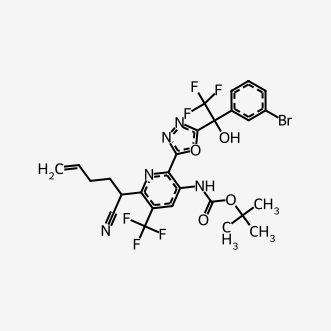 C=CCCC(C#N)c1nc(-c2nnc(C(O)(c3cccc(Br)c3)C(F)(F)F)o2)c(NC(=O)OC(C)(C)C)cc1C(F)(F)F